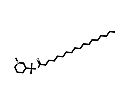 CCCCCCCCCCCCCCCCCC(=O)OC(C)(C)C1CCCN(C)C1